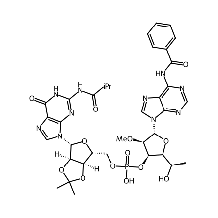 CO[C@@H]1[C@H](OP(=O)(O)OC[C@H]2O[C@@H](n3cnc4c(=O)[nH]c(NC(=O)C(C)C)nc43)[C@@H]3OC(C)(C)O[C@@H]32)C([C@@H](C)O)O[C@H]1n1cnc2c(NC(=O)c3ccccc3)ncnc21